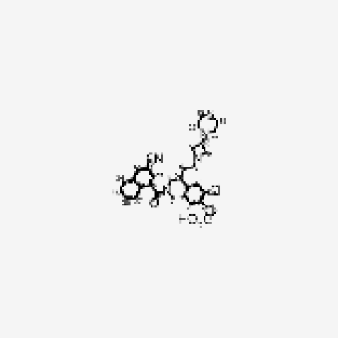 CC(=O)O.CN(C[C@@H](CCN1CC(N2CCSCC2)C1)c1ccc(Cl)c(Cl)c1)C(=O)c1cc(C#N)cc2ccccc12